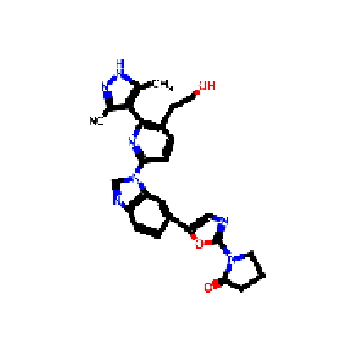 Cc1[nH]nc(C#N)c1-c1nc(-n2cnc3ccc(-c4cnc(N5CCCC5=O)o4)cc32)ccc1CCO